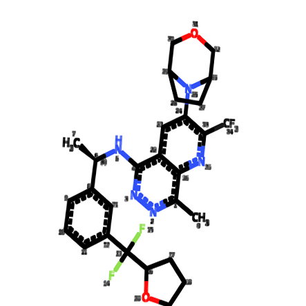 Cc1nnc(N[C@H](C)c2cccc(C(F)(F)C3CCCO3)c2)c2cc(N3C4CCC3COC4)c(C(F)(F)F)nc12